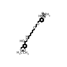 CC1(C)OCc2cc([C@@H](O)CNCCCCCCCOCCOCc3cccc(NS(C)(=O)=O)c3)ccc2O1